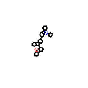 c1ccc(-n2c3ccccc3c3ccc(-c4ccc5c(c4)-c4ccccc4C5c4cccc5c4oc4ccccc45)cc32)cc1